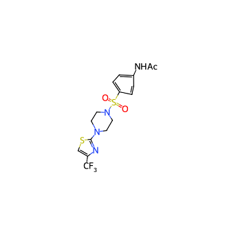 CC(=O)Nc1ccc(S(=O)(=O)N2CCN(c3nc(C(F)(F)F)cs3)CC2)cc1